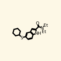 CCN(CC)C(=O)c1cc2cc(SC3CCCCC3)ccc2[nH]1